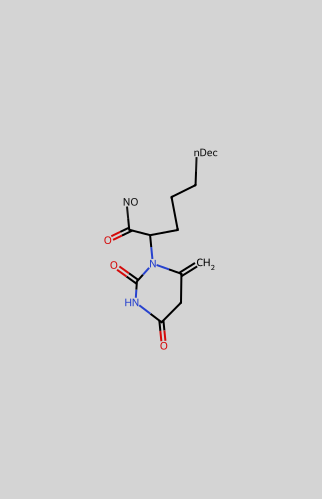 C=C1CC(=O)NC(=O)N1C(CCCCCCCCCCCCC)C(=O)N=O